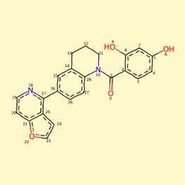 O=C(c1ccc(O)cc1O)N1CCCc2cc(-c3nccc4occc34)ccc21